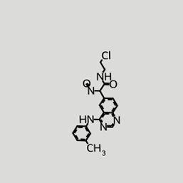 Cc1cccc(Nc2ncnc3ccc(C(N=O)C(=O)NCCCl)cc23)c1